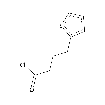 O=C(Cl)CCCc1cccs1